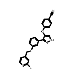 N#Cc1ccc(Oc2c[nH]nc2-c2cccc(OCc3ccnc(Cl)c3)c2)cc1